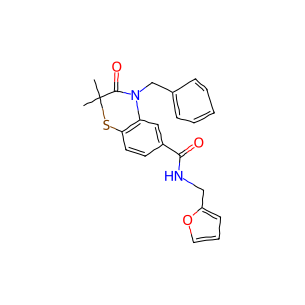 CC1(C)Sc2ccc(C(=O)NCc3ccco3)cc2N(Cc2ccccc2)C1=O